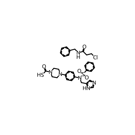 O=C(CCCl)NCc1ccccc1.O=C(S)N1CCN(c2ccc(N(Cc3cnc[nH]3)S(=O)(=O)c3ccccc3)cc2)CC1